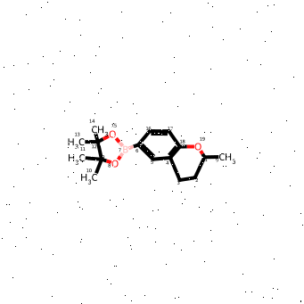 CC1CCc2cc(B3OC(C)(C)C(C)(C)O3)ccc2O1